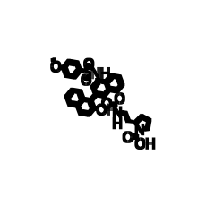 COc1ccc(S(=O)(=O)Nc2cc(-c3c(O)ccc4ccccc34)c(OC(=O)NCC[C@H]3CCCN3C(=O)O)c3ccccc23)cc1